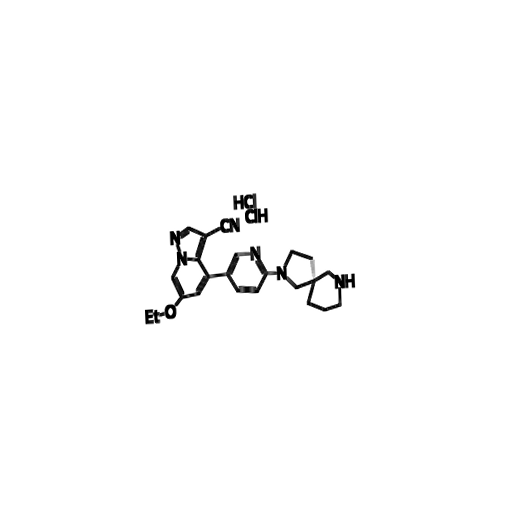 CCOc1cc(-c2ccc(N3CC[C@]4(CCCNC4)C3)nc2)c2c(C#N)cnn2c1.Cl.Cl